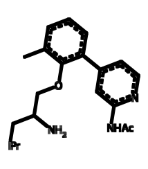 CC(=O)Nc1cc(-c2cccc(C)c2OCC(N)CC(C)C)ccn1